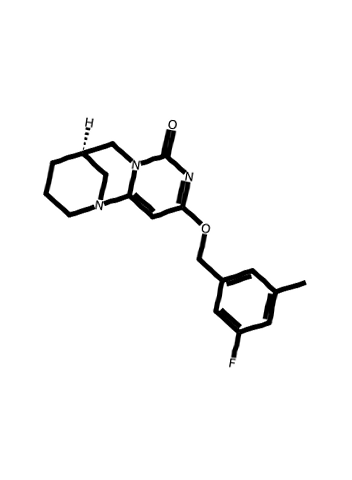 Cc1cc(F)cc(COc2cc3n(c(=O)n2)C[C@@H]2CCCN3C2)c1